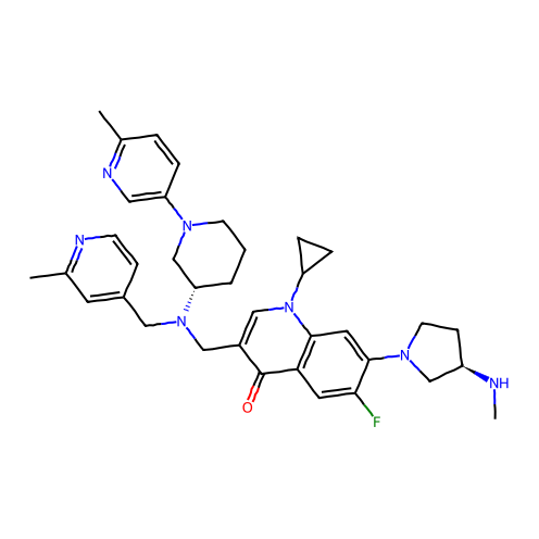 CN[C@@H]1CCN(c2cc3c(cc2F)c(=O)c(CN(Cc2ccnc(C)c2)[C@H]2CCCN(c4ccc(C)nc4)C2)cn3C2CC2)C1